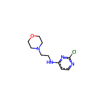 Clc1nccc(NCCN2CCOCC2)n1